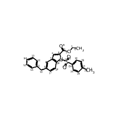 CCOC(=O)c1cc2cc(Cc3ccccc3)ccc2n1S(=O)(=O)c1ccc(C)cc1